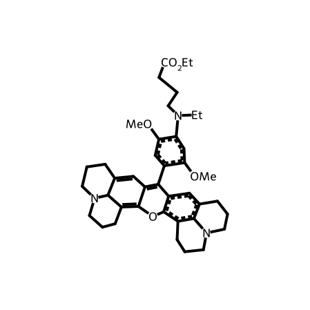 CCOC(=O)CCCN(CC)c1cc(OC)c(C2=C3C=C4CCCN5CCCC(=C3Oc3c2cc2c6c3CCCN6CCC2)C45)cc1OC